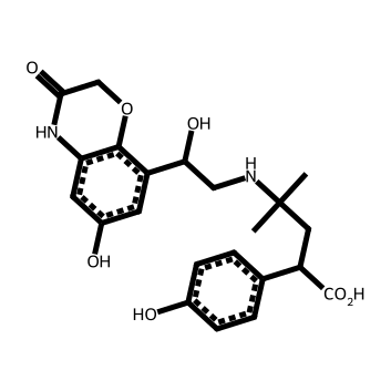 CC(C)(CC(C(=O)O)c1ccc(O)cc1)NCC(O)c1cc(O)cc2c1OCC(=O)N2